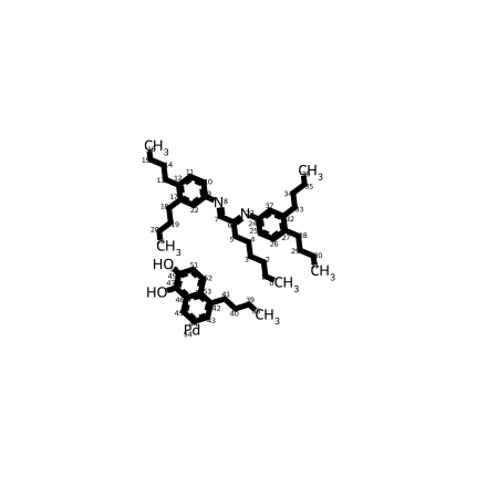 CCCCCCC(C=Nc1ccc(CCCC)c(CCCC)c1)=Nc1ccc(CCCC)c(CCCC)c1.CCCCc1cccc2c(O)c(O)ccc12.[Pd]